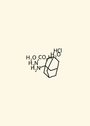 Cl.NC(=O)O.NC12CC3CC(CC(C3)C1)C2.O.O